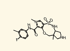 Cc1cc(NC(=O)c2c3c(cn2C)S(=O)(=O)NC2CNCC2(C)CO3)ccc1F